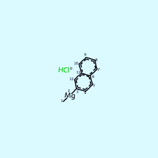 Cl.[CH3][Mg][c]1ccc2ccccc2c1